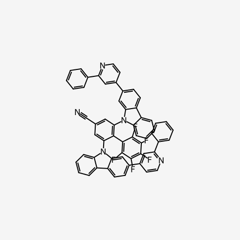 N#Cc1cc(-n2c3ccccc3c3ccc(-c4ccnc(-c5ccccc5)c4)cc32)c(-c2c(F)c(F)c(F)c(F)c2F)c(-n2c3ccccc3c3ccc(-c4ccnc(-c5ccccc5)c4)cc32)c1